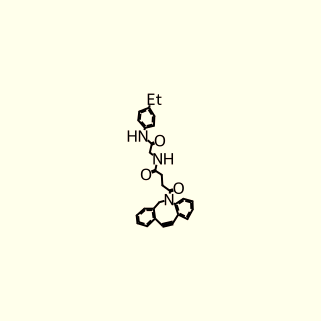 CCc1ccc(NC(=O)CNC(=O)CCC(=O)N2Cc3ccccc3C#Cc3ccccc32)cc1